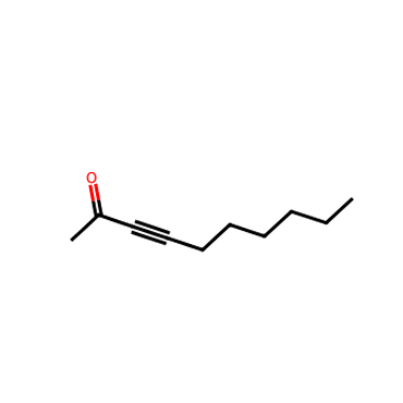 CCCCCCC#CC(C)=O